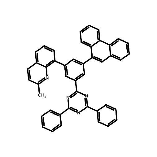 Cc1ccc2cccc(-c3cc(-c4nc(-c5ccccc5)nc(-c5ccccc5)n4)cc(-c4cc5ccccc5c5ccccc45)c3)c2n1